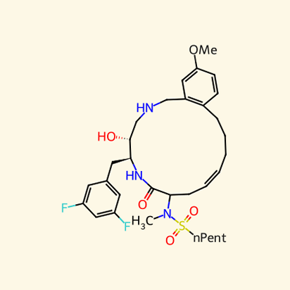 CCCCCS(=O)(=O)N(C)C1CC=CCCCc2ccc(OC)cc2CNC[C@@H](O)[C@H](Cc2cc(F)cc(F)c2)NC1=O